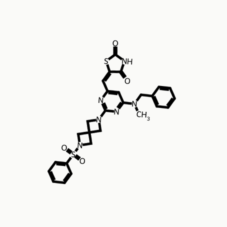 CN(Cc1ccccc1)c1cc(/C=C2/SC(=O)NC2=O)nc(N2CC3(C2)CN(S(=O)(=O)c2ccccc2)C3)n1